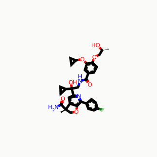 C[C@@H](O)COc1ccc(C(=O)NCC(O)(c2cc3c(c(-c4ccc(F)cc4)n2)OC[C@]3(C)C(N)=O)C2CC2)cc1OC1CC1